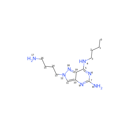 CCCCNc1nc(N)nc2cn(CCCCN)nc12